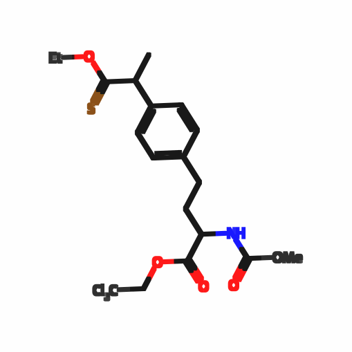 CCOC(=S)C(C)c1ccc(CCC(NC(=O)OC)C(=O)OCC(Cl)(Cl)Cl)cc1